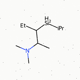 CCC([SiH2]C(C)C)C(C)N(C)C